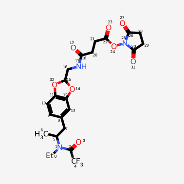 CCN(C(=O)C(F)(F)F)C(C)Cc1ccc2c(c1)OC(CNC(=O)CCC(=O)ON1C(=O)CCC1=O)O2